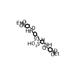 CCS(=O)(=O)c1ccc(C(=O)Nc2ccc(/C=C/c3ccc(NC(=O)c4ccc(S(=O)(=O)CC)cc4)cc3S(=O)(=O)O)c(S(=O)(=O)O)c2)cc1